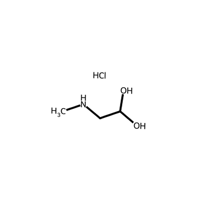 CNCC(O)O.Cl